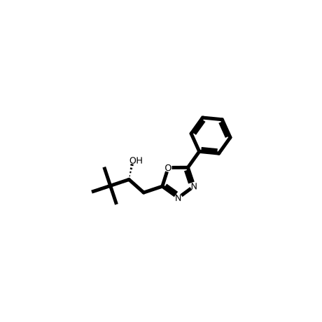 CC(C)(C)[C@H](O)Cc1nnc(-c2ccccc2)o1